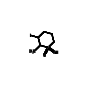 CC1C(I)CCCS1(=N)=O